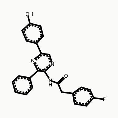 O=C(Cc1ccc(F)cc1)Nc1ncc(-c2ccc(O)cc2)nc1-c1ccccc1